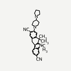 Cn1c2c(c3ccc(C#N)cc31)Cc1cc(C#N)c(N3CCC(N4CCCC4)CC3)cc1C2(C)C